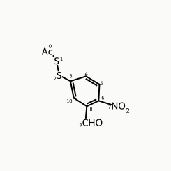 CC(=O)SSc1ccc([N+](=O)[O-])c(C=O)c1